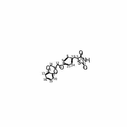 O=C1NC(=O)C(Cc2ccc(OCC3COc4ccccc4O3)cc2)S1